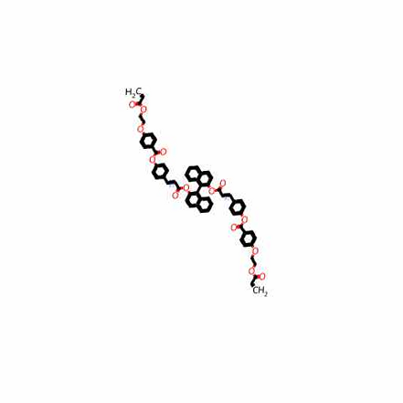 C=CC(=O)OCCOc1ccc(C(=O)Oc2ccc(/C=C/C(=O)Oc3ccc4ccccc4c3-c3c(OC(=O)/C=C/c4ccc(OC(=O)c5ccc(OCCOC(=O)C=C)cc5)cc4)ccc4ccccc34)cc2)cc1